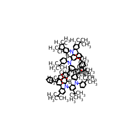 CC(C)c1cc2c3c(c1)N(c1ccc(C(C)(C)C)cc1-c1ccc(-c4ccc(C(C)(C)C)cc4)cc1)c1cc4c(cc1B3c1ccc(C(C)(C)C)cc1N2c1cc(-c2ccc(-c3cc(-c5ccccc5)cc(-c5cc(C(C)(C)C)ccc5N5c6cc7c(cc6B6c8ccc(C(C)(C)C)cc8N(c8cccc(C(C)(C)C)c8)c8cc(C(C)(C)C)cc5c86)C(C)(C)CC7(C)C)c3)cc2)cc(C(C)(C)C)c1)C(C)(C)CC4(C)C